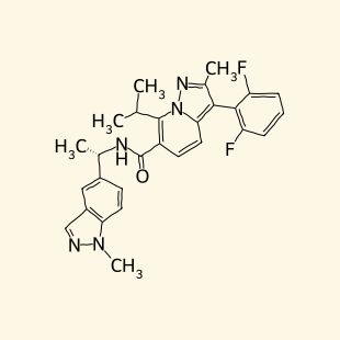 Cc1nn2c(C(C)C)c(C(=O)N[C@@H](C)c3ccc4c(cnn4C)c3)ccc2c1-c1c(F)cccc1F